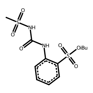 CC(C)COS(=O)(=O)c1ccccc1NC(=O)NS(C)(=O)=O